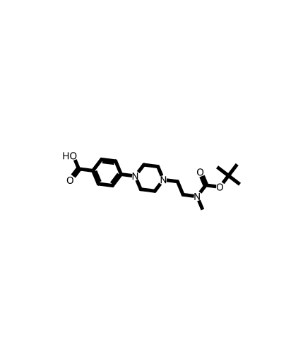 CN(CCN1CCN(c2ccc(C(=O)O)cc2)CC1)C(=O)OC(C)(C)C